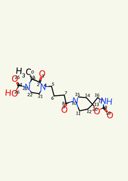 C[C@H]1C(=O)N(CCCC(=O)N2CCC3(CC2)CNC(=O)O3)CCN1C(=O)O